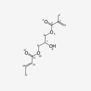 C=C(C)C(=O)OCC(O)COC(=O)/C=C/C